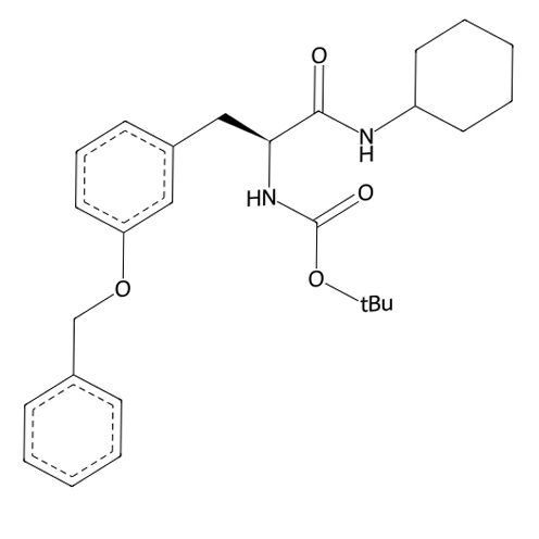 CC(C)(C)OC(=O)N[C@@H](Cc1cccc(OCc2ccccc2)c1)C(=O)NC1CCCCC1